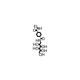 CCNC(=O)[C@H]1CC[C@H](C(=O)NCC(O)[C@@H](O)C(O)[C@H](O)CO)CC1